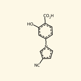 N#Cc1ccn(-c2ccc(C(=O)O)c(O)c2)c1